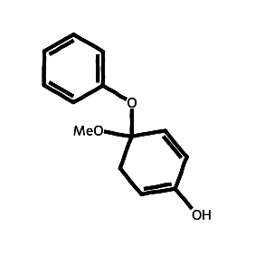 COC1(Oc2ccccc2)C=CC(O)=CC1